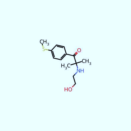 CSc1ccc(C(=O)C(C)(C)NCCO)cc1